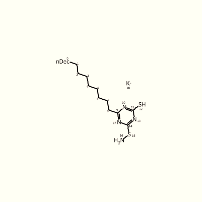 CCCCCCCCCCCCCCCCCCc1nc(S)nc(SN)n1.[K]